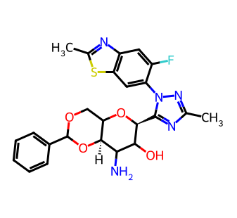 Cc1nc([C@@H]2OC3COC(c4ccccc4)O[C@@H]3C(N)C2O)n(-c2cc3sc(C)nc3cc2F)n1